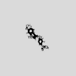 COc1ccc2c(Nc3ccc([N+](=O)[O-])cc3)c[nH]c2c1